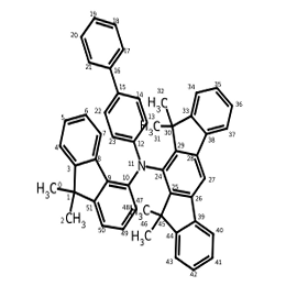 CC1(C)c2ccccc2-c2c(N(c3ccc(-c4ccccc4)cc3)c3c4c(cc5c3C(C)(C)c3ccccc3-5)-c3ccccc3C4(C)C)cccc21